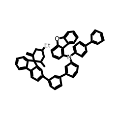 C=C1CC(CC)CC(C)C12c1ccccc1-c1ccc(-c3cccc(-c4cccc(N(c5ccc(-c6ccccc6)cc5)c5cccc6oc7ccccc7c56)c4)c3)cc12